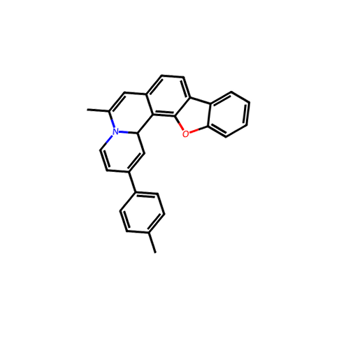 CC1=Cc2ccc3c(oc4ccccc43)c2C2C=C(c3ccc(C)cc3)C=CN12